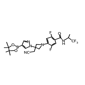 CC(NC(=O)c1cc(F)c(N2CC(CC#N)(n3cc(B4OC(C)(C)C(C)(C)O4)cn3)C2)cc1F)C(F)(F)F